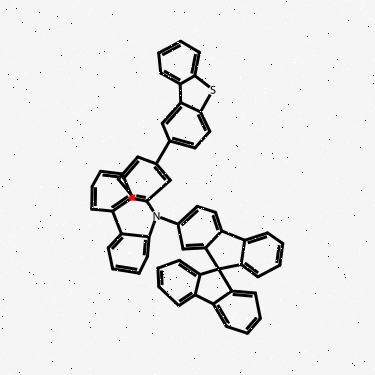 c1ccc(-c2ccccc2N(c2cccc(-c3ccc4sc5ccccc5c4c3)c2)c2ccc3c(c2)C2(c4ccccc4-c4ccccc42)c2ccccc2-3)cc1